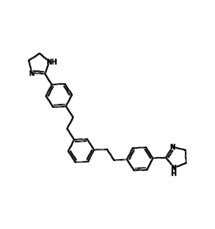 c1cc(CCc2ccc(C3=NCCN3)cc2)cc(CCc2ccc(C3=NCCN3)cc2)c1